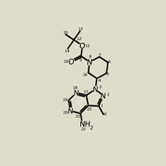 Cc1nn(C2CCCN(C(=O)OC(C)(C)C)C2)c2ncnc(N)c12